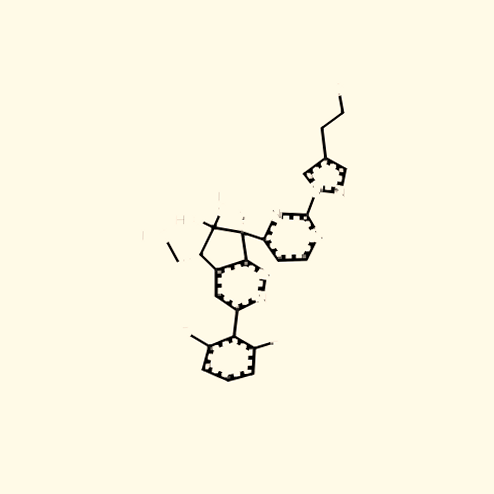 CC[C@H]1c2cc(-c3c(F)cccc3F)nnc2[C@](C)(c2ccnc(-n3cc(CCO)cn3)n2)C1(C)C